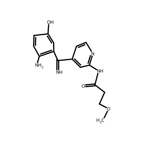 COCCC(=O)Nc1cc(C(=N)c2cc(O)ccc2N)ccn1